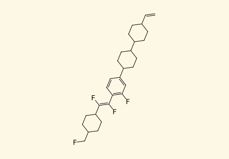 C=CC1CCC(C2CCC(c3ccc(/C(F)=C(\F)C4CCC(CF)CC4)c(F)c3)CC2)CC1